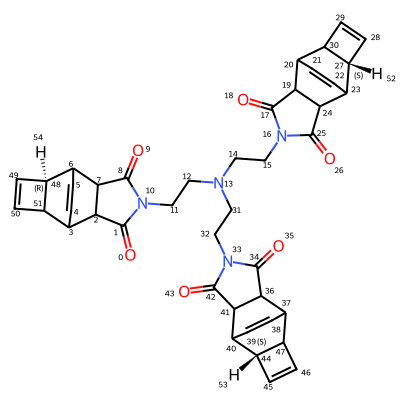 O=C1C2C3C=CC(C2C(=O)N1CCN(CCN1C(=O)C2C4C=CC(C2C1=O)[C@H]1C=CC41)CCN1C(=O)C2C4C=CC(C2C1=O)[C@H]1C=CC41)[C@@H]1C=CC31